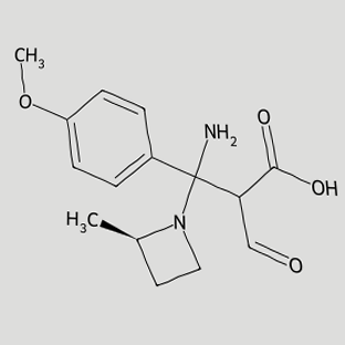 COc1ccc(C(N)(C(C=O)C(=O)O)N2CC[C@H]2C)cc1